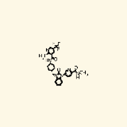 CNC(=O)c1ccc(-n2c(=O)n(C[C@H]3CC[C@H](NC(=O)c4cc(C(F)(F)F)cnc4C)CC3)c3ccccc32)cn1